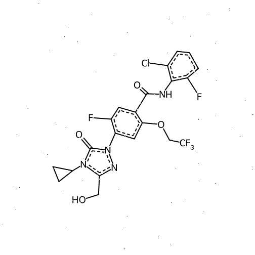 O=C(Nc1c(F)cccc1Cl)c1cc(F)c(-n2nc(CO)n(C3CC3)c2=O)cc1OCC(F)(F)F